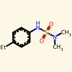 CCc1ccc(NS(=O)(=O)N(C)C)cc1